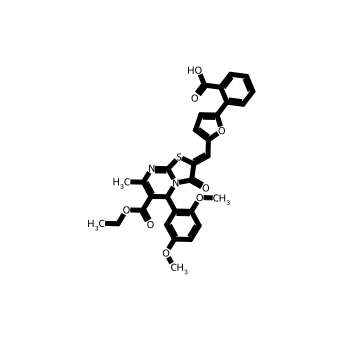 CCOC(=O)C1=C(C)N=c2s/c(=C\c3ccc(-c4ccccc4C(=O)O)o3)c(=O)n2C1c1cc(OC)ccc1OC